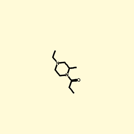 CCC(=O)N1CCN(CC)CC1C